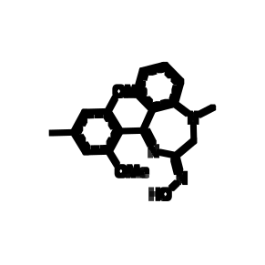 COc1cc(C)cc(OC)c1C1=NC(=NO)CN(C)c2ccccc21